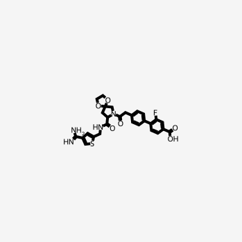 N=C(N)c1csc(CNC(=O)C2CC3(CN2C(=O)Cc2ccc(-c4ccc(C(=O)O)cc4F)cc2)OCCO3)c1